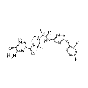 C[C@@H](C(=O)Nc1cnc(Oc2ccc(F)cc2F)cn1)N1CCN(C(=O)c2c[nH]c(=O)c(N)n2)C(C)(C)C1